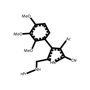 CCCNCc1[nH]c(C#N)c(C(C)=O)c1-c1ccc(OC)c(OC)c1OC